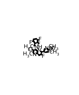 Cc1nc2cc(F)c(-c3ccc(P(C)(C)=O)nc3)nc2c(NC(C)c2c(F)ccc(F)c2F)c1Cl